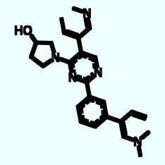 C=C/C(=C\N(C)C)c1cccc(-c2ncc(C(/C=N\C)=C/C)c(N3CCC(O)C3)n2)c1